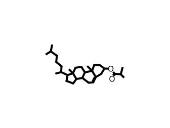 CC(C)CCCC(C)C1CCC2C3CC=C4CC(OC(=O)C(C)C)CCC4(C)C3CCC12C